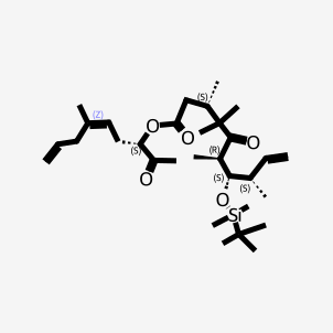 C=CC/C(C)=C\C[C@H](OC(=O)C[C@H](C)C(C)(C)C(=O)[C@H](C)[C@@H](O[Si](C)(C)C(C)(C)C)[C@@H](C)C=C)C(C)=O